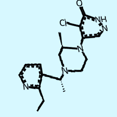 CCc1ncccc1[C@@H](C)N1CCN(c2cn[nH]c(=O)c2Cl)[C@H](C)C1